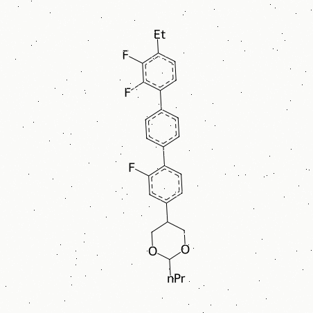 CCCC1OCC(c2ccc(-c3ccc(-c4ccc(CC)c(F)c4F)cc3)c(F)c2)CO1